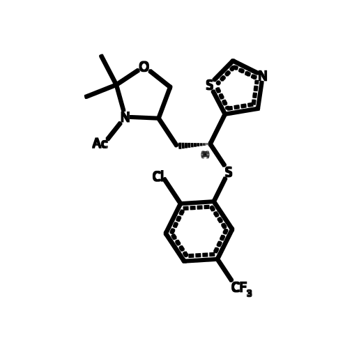 CC(=O)N1C(C[C@@H](Sc2cc(C(F)(F)F)ccc2Cl)c2cncs2)COC1(C)C